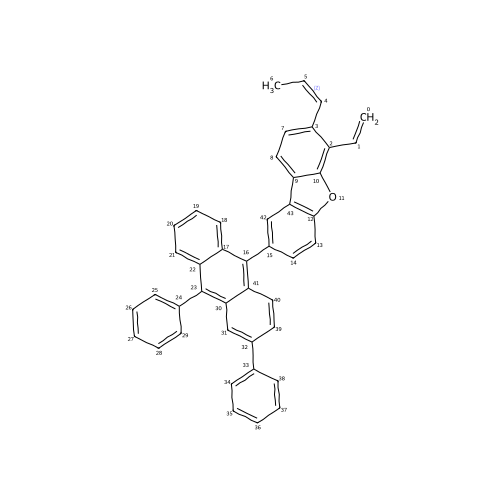 C=Cc1c(/C=C\C)ccc2c1oc1ccc(-c3c4ccccc4c(-c4ccccc4)c4cc(-c5ccccc5)ccc34)cc12